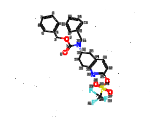 O=C(OCc1ccccc1)N(Cc1ccccc1)[C@H]1CCc2nc(OS(=O)(=O)C(F)(F)F)ccc2C1